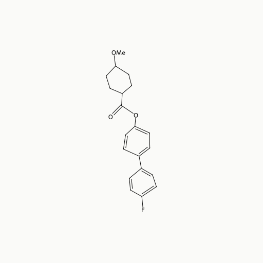 COC1CCC(C(=O)Oc2ccc(-c3ccc(F)cc3)cc2)CC1